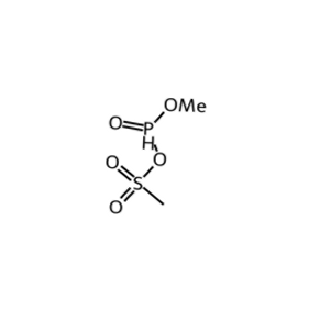 CO[PH](=O)OS(C)(=O)=O